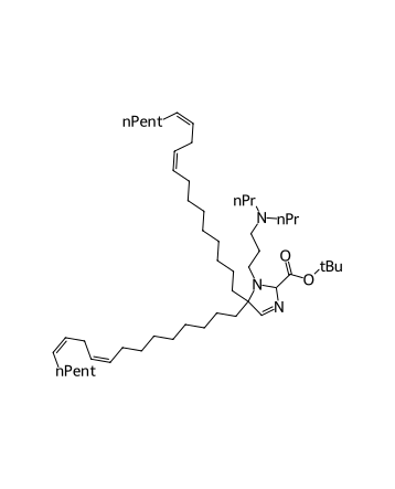 CCCCC/C=C\C/C=C\CCCCCCCCC1(CCCCCCCC/C=C\C/C=C\CCCCC)C=NC(C(=O)OC(C)(C)C)N1CCCN(CCC)CCC